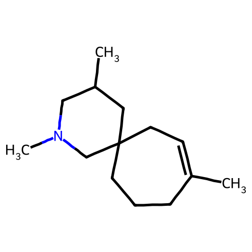 CC1=CCC2(CCC1)CC(C)CN(C)C2